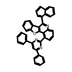 c1ccc(-c2cc(-c3ccccc3)nc(-c3cccc4nc(-c5cccc6ccccc56)c5c6ccccc6oc5c34)n2)cc1